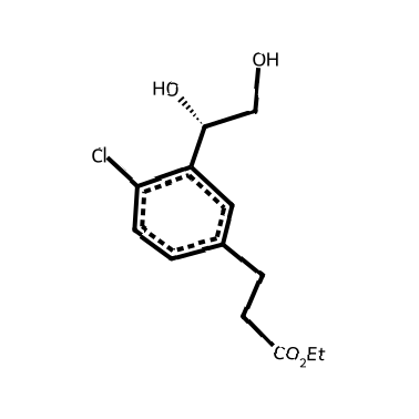 CCOC(=O)CCc1ccc(Cl)c([C@H](O)CO)c1